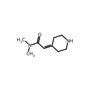 CN(C)C(=O)C=C1CCNCC1